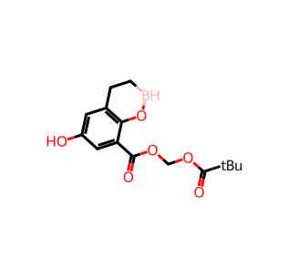 CC(C)(C)C(=O)OCOC(=O)c1cc(O)cc2c1OBCC2